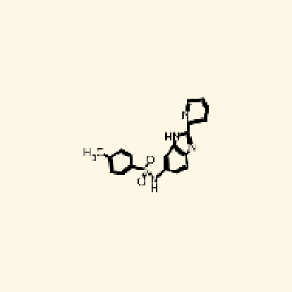 Cc1ccc(S(=O)(=O)Nc2ccc3nc(-c4ccccn4)[nH]c3c2)cc1